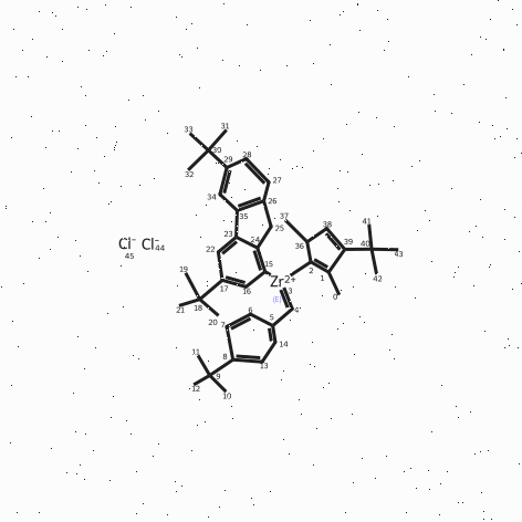 CC1=[C](/[Zr+2](=[CH]/c2ccc(C(C)(C)C)cc2)[c]2cc(C(C)(C)C)cc3c2Cc2ccc(C(C)(C)C)cc2-3)C(C)C=C1C(C)(C)C.[Cl-].[Cl-]